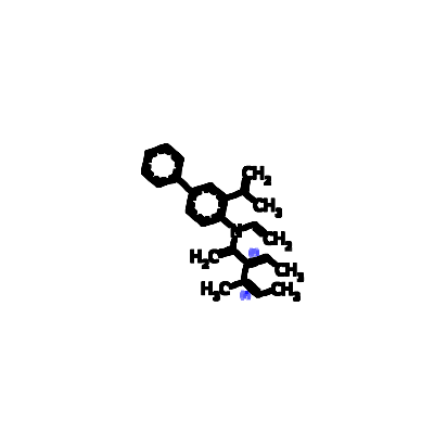 C=CN(C(=C)C(=C/C)/C(C)=C\C)c1ccc(-c2ccccc2)cc1C(=C)C